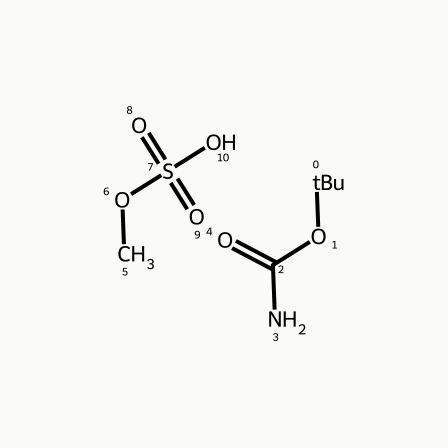 CC(C)(C)OC(N)=O.COS(=O)(=O)O